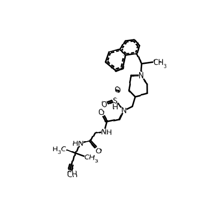 C#CC(C)(C)NC(=O)CNC(=O)CN(CC1CCN(C(C)c2cccc3ccccc23)CC1)[SH](=O)=O